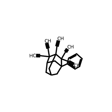 C#CC1(C#C)C2CC3CC(c4ccccc4)(C2)C(C#C)(C#C)C1(C#C)C3